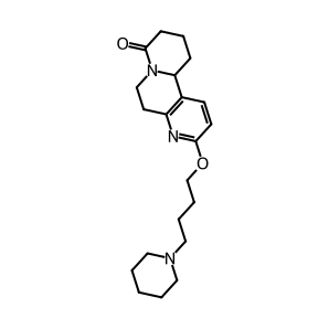 O=C1CCCC2c3ccc(OCCCCN4CCCCC4)nc3CCN12